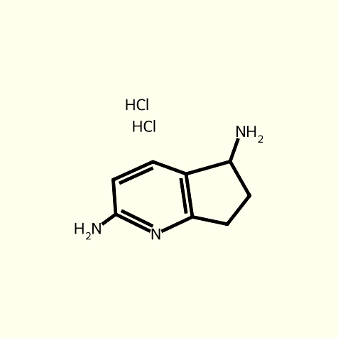 Cl.Cl.Nc1ccc2c(n1)CCC2N